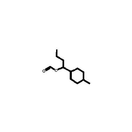 CCCC(O[C]=O)C1CCC(C)CC1